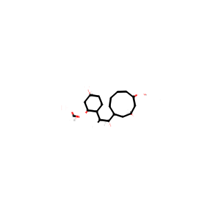 COC1CCCCC([C@@H](O)C(C)C2CC[C@H](O)CC2O[C@H](C)O)C[C@H](O)C1